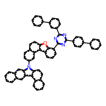 c1ccc(-c2ccc(-c3nc(-c4cccc(-c5ccccc5)c4)nc(-c4cccc5c4oc4ccc6ccc(-n7c8cc9ccccc9cc8c8c9ccccc9ccc87)cc6c45)n3)cc2)cc1